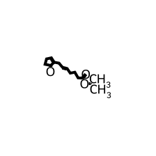 CC(C)OC(=O)CCCC=CCC1=CCCC1=O